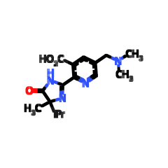 CC(C)C1(C)N=C(c2ncc(CN(C)C)cc2C(=O)O)NC1=O